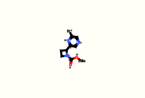 CCc1cncc(C2CCN2C(=O)OC(C)(C)C)n1